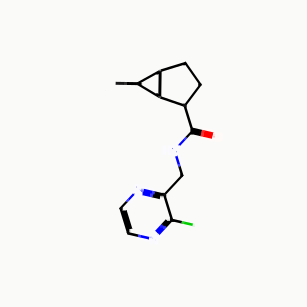 CCOC(=O)C1C2CCC(C(=O)NCc3nccnc3Cl)C21